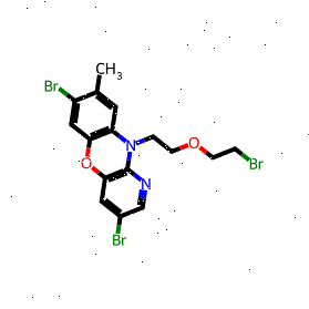 Cc1cc2c(cc1Br)Oc1cc(Br)cnc1N2CCOCCBr